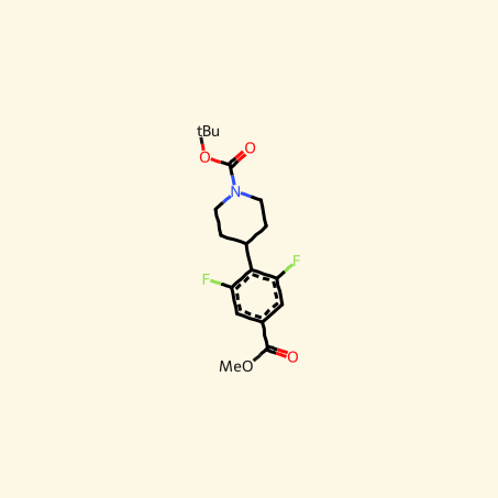 COC(=O)c1cc(F)c(C2CCN(C(=O)OC(C)(C)C)CC2)c(F)c1